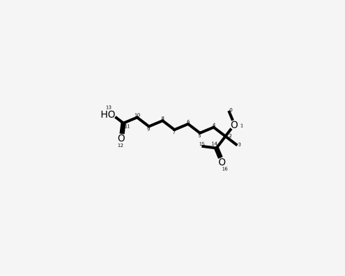 COC(C)(CCCCCCCC(=O)O)C(C)=O